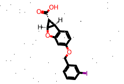 O=C(O)[C@H]1[C@@H]2Oc3cc(OCc4cccc(I)c4)ccc3[C@@H]21